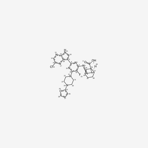 O=C(O)[C@@H]1/C(=N/c2nc(-c3c[nH]c4ncc(Cl)nc34)nc(N3CCN(c4ccco4)CC3)c2F)C2CCC1CC2